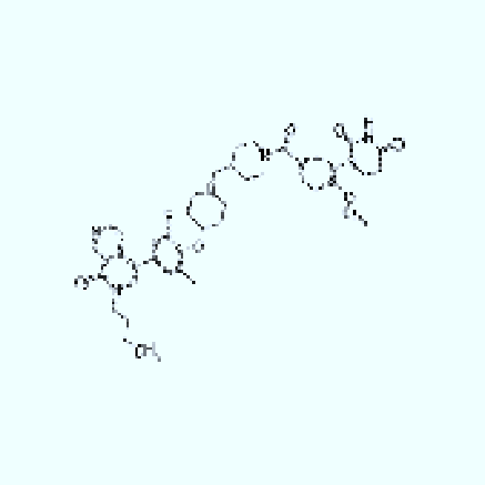 CCCCn1cc(-c2cc(F)c(OC3CCN(CC4CCN(C(=O)c5ccc(OC)c(N6CCC(=O)NC6=O)c5)CC4)CC3)c(F)c2)c2ccncc2c1=O